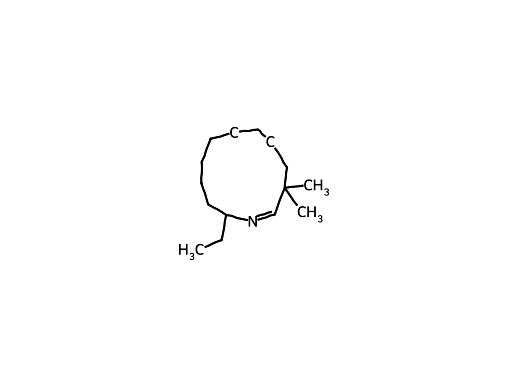 CCC1CCCCCCCCC(C)(C)C=N1